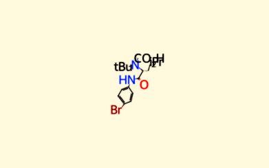 CC(C)C[C@H](C(=O)Nc1ccc(Br)cc1)N(C(=O)O)C(C)(C)C